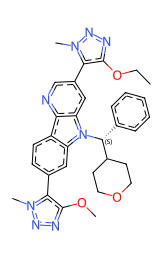 CCOc1nnn(C)c1-c1cnc2c3ccc(-c4c(OC)nnn4C)cc3n([C@H](c3ccccc3)C3CCOCC3)c2c1